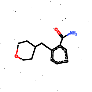 NC(=O)c1ccccc1CC1CCOCC1